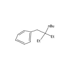 CCCCC(CC)(CC)Cc1ccccc1